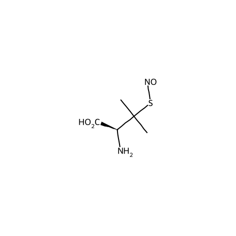 CC(C)(SN=O)[C@@H](N)C(=O)O